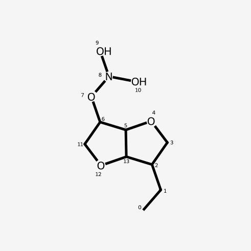 CCC1COC2C(ON(O)O)COC12